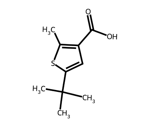 Cc1sc(C(C)(C)C)cc1C(=O)O